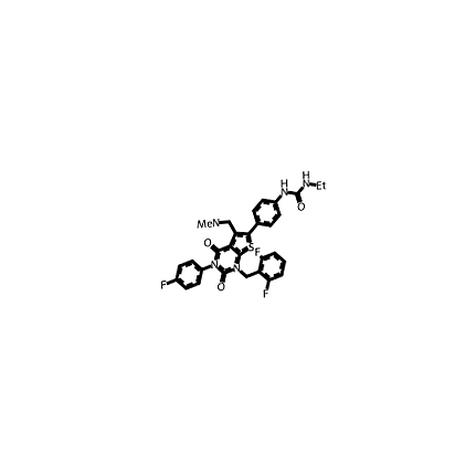 CCNC(=O)Nc1ccc(-c2sc3c(c2CNC)c(=O)n(-c2ccc(F)cc2)c(=O)n3Cc2c(F)cccc2F)cc1